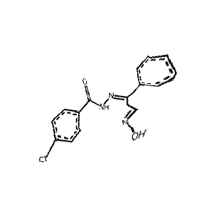 O=C(N/N=C(\C=N\O)c1ccccc1)c1ccc(Cl)cc1